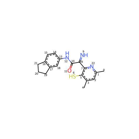 Cc1cc(C)c(S)c(C(=N)C(=O)Nc2ccc3c(c2)CCC3)n1